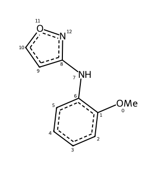 COc1ccccc1Nc1ccon1